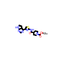 CC(C)(C)OC(=O)N1CCC(C(=O)Nc2nc(-c3ncnc4[nH]ccc34)cs2)CC1